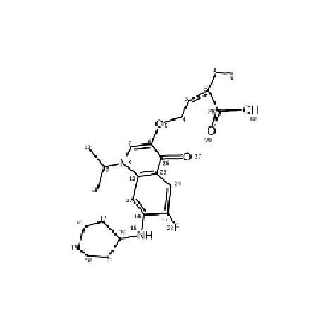 CCC(=CCOc1cn(C(C)C)c2cc(NC3CCCCC3)c(F)cc2c1=O)C(=O)O